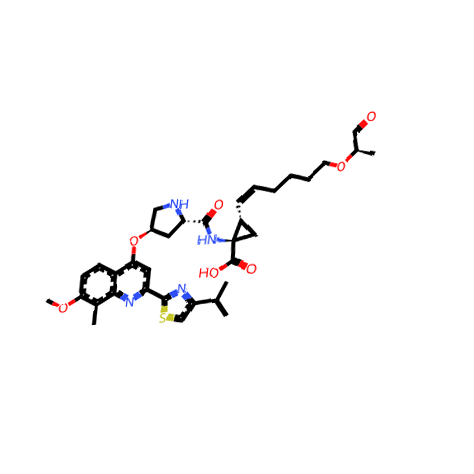 COc1ccc2c(O[C@H]3CN[C@H](C(=O)N[C@]4(C(=O)O)C[C@H]4/C=C\CCCCO[C@H](C)C=O)C3)cc(-c3nc(C(C)C)cs3)nc2c1C